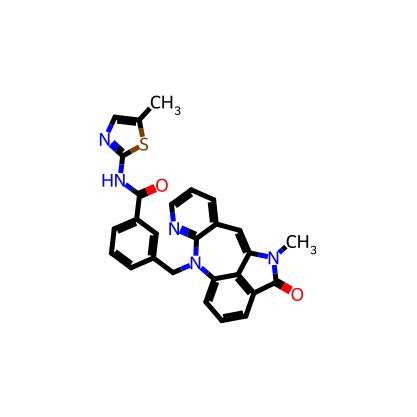 Cc1cnc(NC(=O)c2cccc(CN3c4cccc5c4C(=Cc4cccnc43)N(C)C5=O)c2)s1